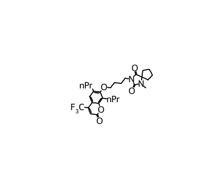 CCCc1cc2c(C(F)(F)F)cc(=O)oc2c(CCC)c1OCCCCN1C(=O)N(C)C2(CCCC2)C1=O